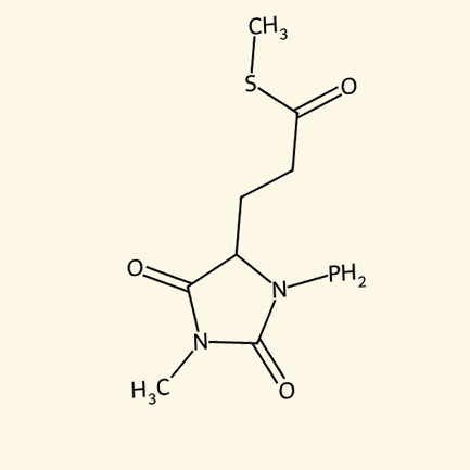 CSC(=O)CCC1C(=O)N(C)C(=O)N1P